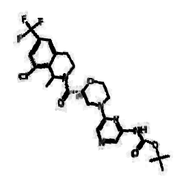 CC1c2c(Cl)cc(C(F)(F)F)cc2CCN1C(=O)[C@H]1CN(c2cncc(NC(=O)OC(C)(C)C)n2)CCO1